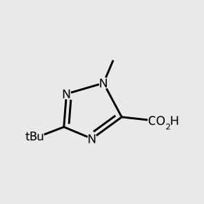 Cn1nc(C(C)(C)C)nc1C(=O)O